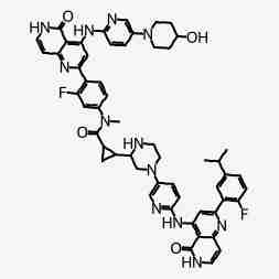 CC(C)c1ccc(F)c(-c2cc(Nc3ccc(N4CCNC(C5CC5C(=O)N(C)c5ccc(-c6cc(Nc7ccc(N8CCC(O)CC8)cn7)c7c(=O)[nH]ccc7n6)c(F)c5)C4)cn3)c3c(=O)[nH]ccc3n2)c1